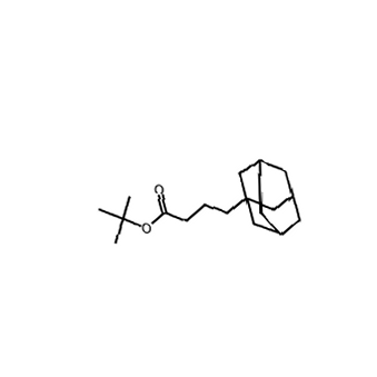 CC(C)(C)OC(=O)CCCC12CC3CC(CC(C3)C1)C2